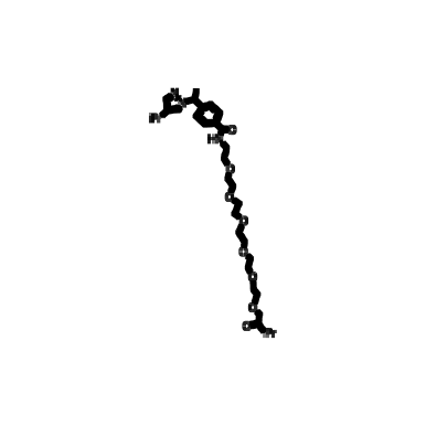 CC(C)C(=O)COCCOCCOCCOCCOCCOCCNC(=O)c1ccc(C(C)n2cc(C(C)C)cn2)cc1